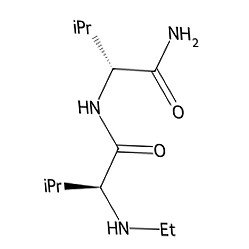 CCN[C@H](C(=O)N[C@@H](C(N)=O)C(C)C)C(C)C